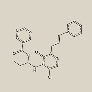 CCC(Nc1c(Cl)cnn(CC=Cc2ccccc2)c1=O)OC(=O)c1cccnc1